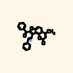 Cc1cc(=O)oc2c1ccc1oc(C(=O)c3ccccc3)c(/C=C/c3ccccc3)c12